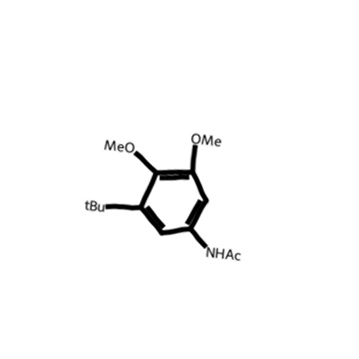 COc1cc(NC(C)=O)cc(C(C)(C)C)c1OC